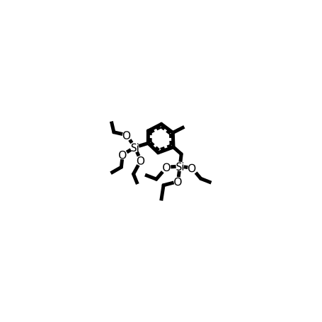 CCO[Si](Cc1cc([Si](OCC)(OCC)OCC)ccc1C)(OCC)OCC